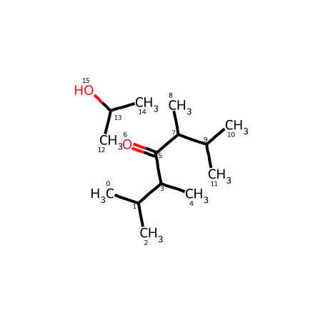 CC(C)C(C)C(=O)C(C)C(C)C.CC(C)O